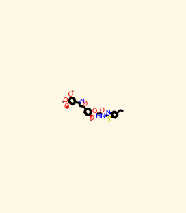 CCc1ccc2sc(NC(=O)COc3cc(C4CC(c5cc(OC)c(OC)c(OC)c5)=NO4)ccc3OC)nc2c1